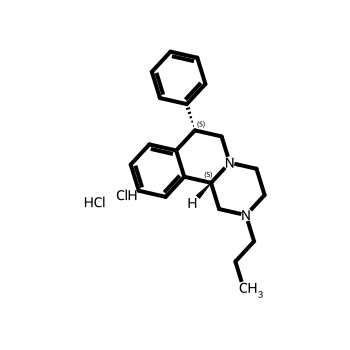 CCCN1CCN2C[C@@H](c3ccccc3)c3ccccc3[C@H]2C1.Cl.Cl